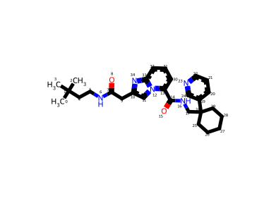 CC(C)(C)CCNC(=O)Cc1cn2c(C(=O)NCC3(c4cccnc4)CCCCC3)cccc2n1